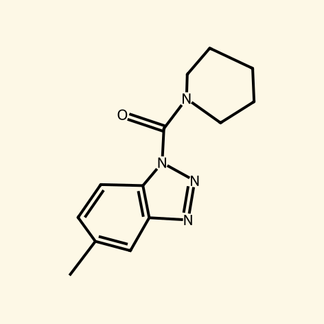 Cc1ccc2c(c1)nnn2C(=O)N1CCCCC1